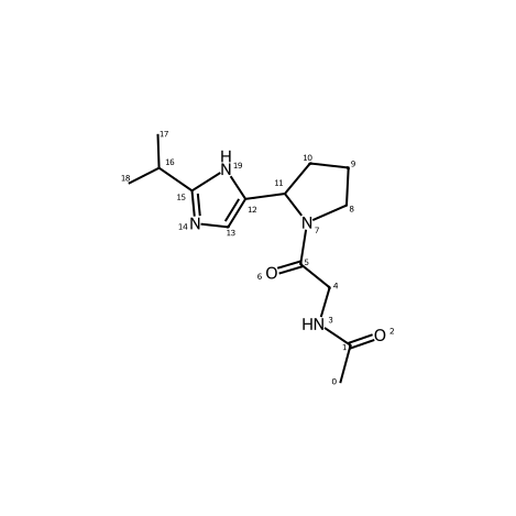 CC(=O)NCC(=O)N1CCCC1c1cnc(C(C)C)[nH]1